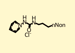 CCCCCCCCCCCCNC(=O)N[n+]1ccccc1.[Cl-]